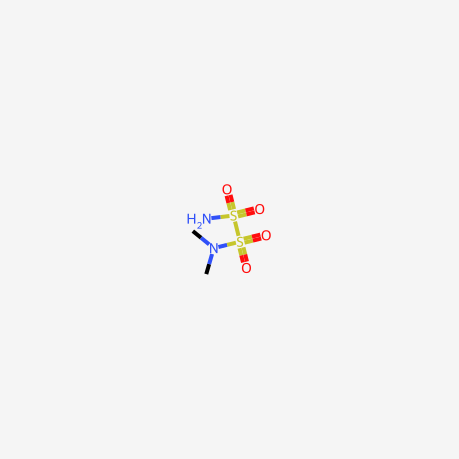 CN(C)S(=O)(=O)S(N)(=O)=O